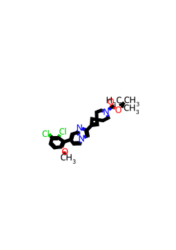 COc1ccc(Cl)c(Cl)c1-c1ccn2cc(C3=CC4(CCN(C(=O)OC(C)(C)C)CC4)C3)nc2c1